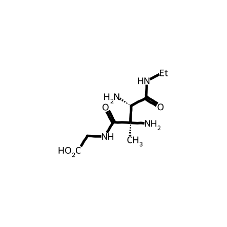 CCNC(=O)[C@@H](N)[C@@](C)(N)C(=O)NCC(=O)O